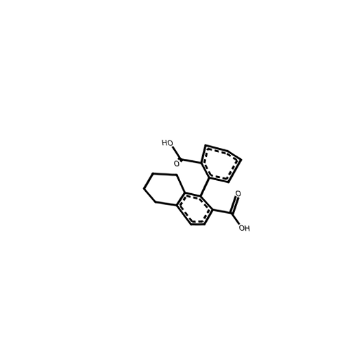 O=C(O)c1ccccc1-c1c(C(=O)O)ccc2c1CCCC2